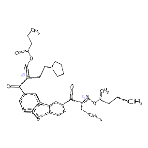 C=C(CCC)O/N=C(\CC)C(=O)c1ccc2sc3ccc(C(=O)/C(CCC4CCCC4)=N/OC(=O)CCC)cc3c2c1